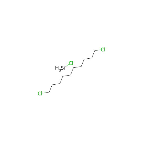 ClCCCCCCCCCCCl.[SiH3]Cl